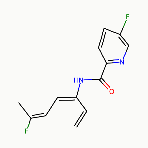 C=C/C(=C\C=C(/C)F)NC(=O)c1ccc(F)cn1